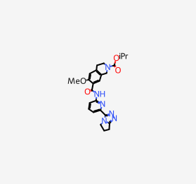 COc1cc2c(cc1C(=O)Nc1cccc(-c3nnc4n3CCC4)n1)CN(C(=O)OC(C)C)CC2